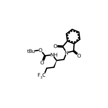 CC(C)(C)OC(=O)N[C@H](CCC(F)(F)F)CN1C(=O)c2ccccc2C1=O